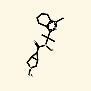 Cn1nc(C(C)(C)N(N)C(=O)C2C3CN(N)CC32)c2c1CCCC2